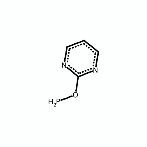 POc1ncccn1